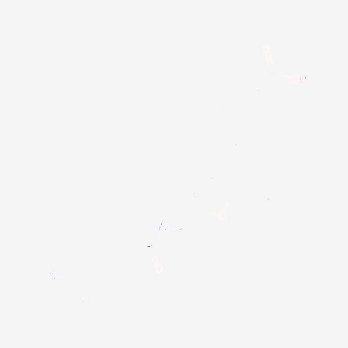 O=C(/C=C/c1cccnc1Cl)NCC1Cc2cc(-c3ccc(C(=O)O)s3)cc(Cl)c2O1